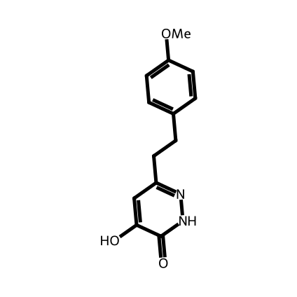 COc1ccc(CCc2cc(O)c(=O)[nH]n2)cc1